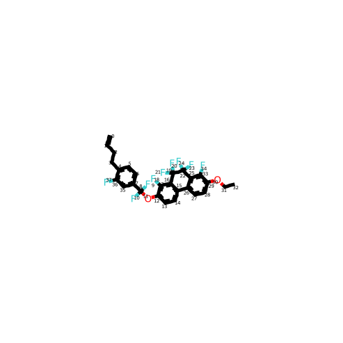 C=CCCc1ccc(C(F)(F)Oc2ccc3c(c2F)C(F)(F)C(F)(F)c2c-3ccc(OCC)c2F)cc1F